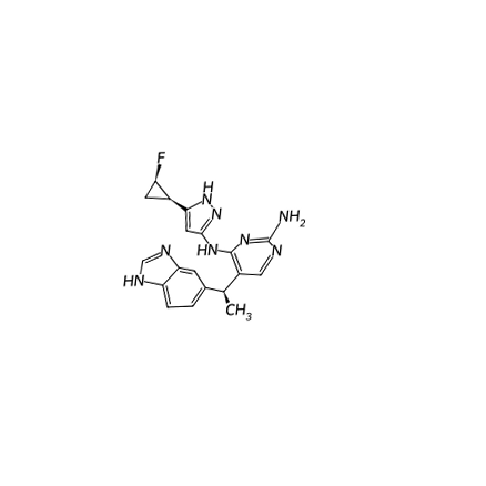 C[C@@H](c1ccc2[nH]cnc2c1)c1cnc(N)nc1Nc1cc([C@H]2C[C@H]2F)[nH]n1